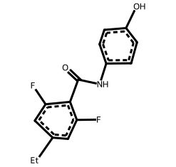 CCc1cc(F)c(C(=O)Nc2ccc(O)cc2)c(F)c1